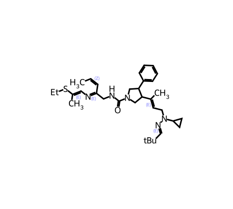 C\C=C/C(CNC(=O)N1CC(/C(C)=C/CN(/N=C/C(C)(C)C)C2CC2)C(c2ccccc2)C1)=N\C=C(/C)SCC